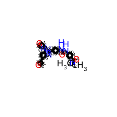 CN(C)C(=O)c1ccc(NC(=O)Nc2ccc(-c3nc(N4CCOCC4)c4ccc(C5C=COC5)cc4n3)cc2)cc1